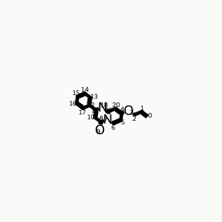 C=CCOc1ccn2c(=O)cc(-c3ccccc3)nc2c1